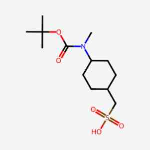 CN(C(=O)OC(C)(C)C)C1CCC(CS(=O)(=O)O)CC1